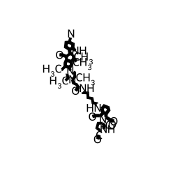 CCc1cc2c(cc1N1CC(C)N(CCC(=O)NCCCCCCNc3cccc4c(=C=O)n(C5CCC(=C=O)NC5=C=O)c(=C=O)c34)C(C)C1)C(C)(C)c1[nH]c3cc(C#N)ccc3c1C2=C=O